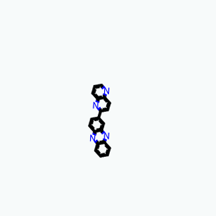 c1cnc2ccc(-c3ccc4nc5ccccc5nc4c3)nc2c1